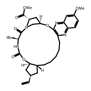 C=C[C@@H]1C[C@H]2CCCCCc3nc4ccc(OC)cc4nc3O[C@@H]3C[C@@H](C(=O)OC)N(C3)C(=O)[C@H](C(C)(C)C)NC(=O)O[C@@H]2C1